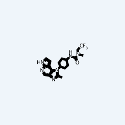 Cc1nc2cnc3[nH]ccc3c2n1C1CCC(NC(=O)N(C)CC(F)(F)F)CC1